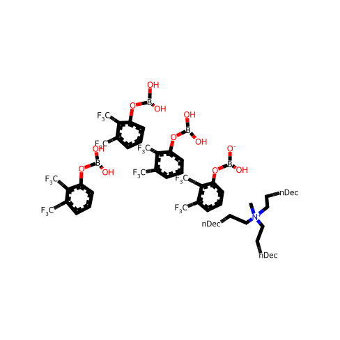 CCCCCCCCCCCC[N+](C)(CCCCCCCCCCCC)CCCCCCCCCCCC.OB(O)Oc1cccc(C(F)(F)F)c1C(F)(F)F.OB(O)Oc1cccc(C(F)(F)F)c1C(F)(F)F.OB(O)Oc1cccc(C(F)(F)F)c1C(F)(F)F.[O-]B(O)Oc1cccc(C(F)(F)F)c1C(F)(F)F